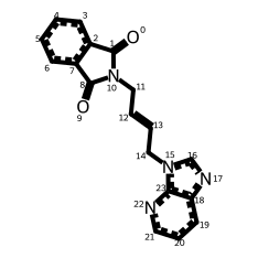 O=C1c2ccccc2C(=O)N1C/C=C/Cn1cnc2cccnc21